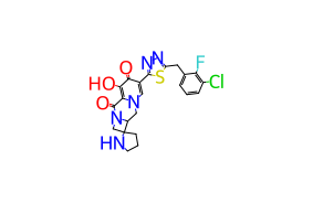 O=C1c2c(O)c(=O)c(-c3nnc(Cc4cccc(Cl)c4F)s3)cn2CC2N1CC21CCCN1